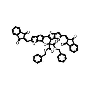 O=C1C(=Cc2cc3sc4c(c3s2)OC(C(=O)OCc2ccccc2)(C(=O)OCc2ccccc2)c2c-4sc3cc(C=C4C(=O)c5ccccc5C4=O)sc23)C(=O)c2ccccc21